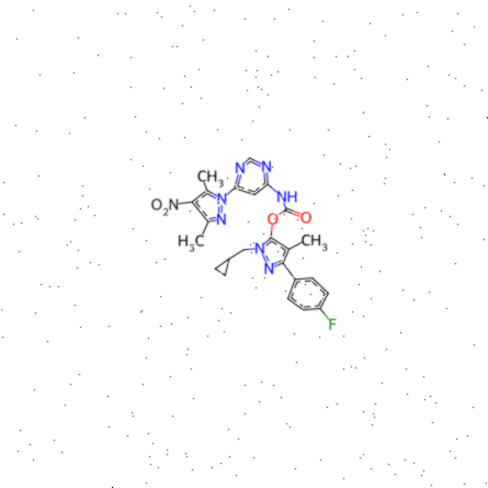 Cc1nn(-c2cc(NC(=O)Oc3c(C)c(-c4ccc(F)cc4)nn3CC3CC3)ncn2)c(C)c1[N+](=O)[O-]